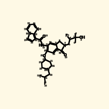 CC(C)(O)C(F)CN1Cc2cc(NC(=O)c3cnn4cccnc34)c(OC3CCN(CC(F)F)CC3)cc2C1=O